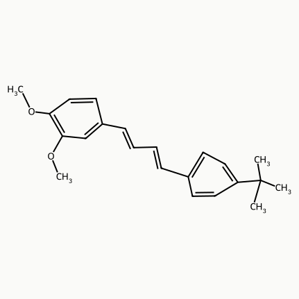 COc1ccc(C=CC=Cc2ccc(C(C)(C)C)cc2)cc1OC